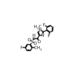 Cc1ccc(F)cc1S(=O)(=O)NC(=O)c1cn(C)c(-c2c(F)cccc2F)n1